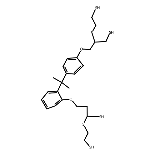 CC(C)(c1ccc(OCC(CS)SCCS)cc1)c1ccccc1OCCC(S)SCCS